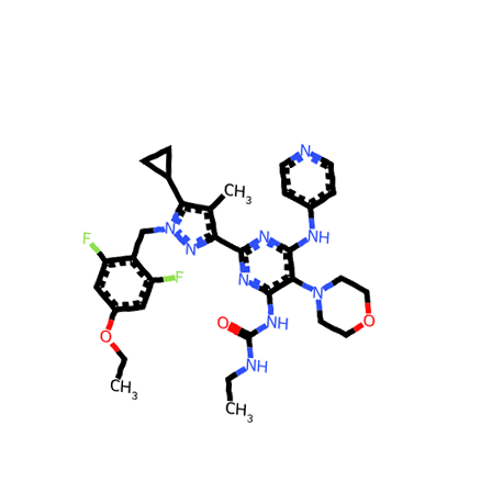 CCNC(=O)Nc1nc(-c2nn(Cc3c(F)cc(OCC)cc3F)c(C3CC3)c2C)nc(Nc2ccncc2)c1N1CCOCC1